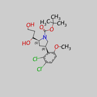 COc1ccc(Cl)c(Cl)c1[C@H]1C[C@@H](C(O)CCO)N(C(=O)OC(C)(C)C)C1